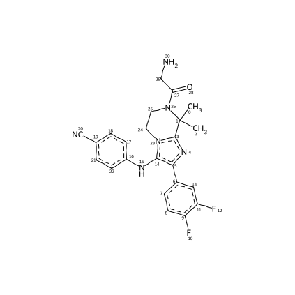 CC1(C)c2nc(-c3ccc(F)c(F)c3)c(Nc3ccc(C#N)cc3)n2CCN1C(=O)CN